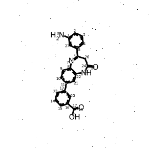 Nc1cccc(C2=Nc3ccc(-c4cccc(C(=O)O)c4)cc3NC(=O)C2)c1